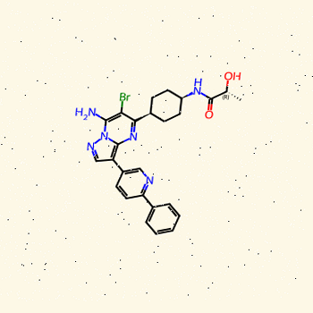 C[C@@H](O)C(=O)N[C@H]1CC[C@@H](c2nc3c(-c4ccc(-c5ccccc5)nc4)cnn3c(N)c2Br)CC1